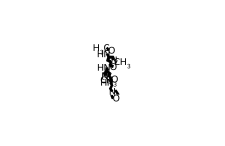 CC(=O)Nc1cc(C(=O)Nc2cc(C(=O)NCCN3CCOCC3)n(C)c2)n(C)c1